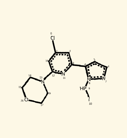 Clc1cc(-c2ccnn2PI)nc(N2CCOCC2)c1